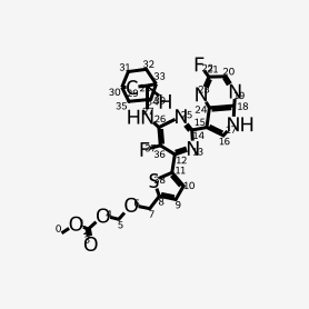 COC(=O)OCOCc1ccc(-c2nc(-c3c[nH]c4ncc(F)nc34)nc(N[C@@H]3CC4CCC3CC4)c2F)s1